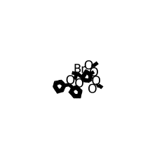 CC(=O)Oc1ccc(C(C)(Br)C(=O)OC(c2ccccc2)c2ccccc2)cc1OC(C)=O